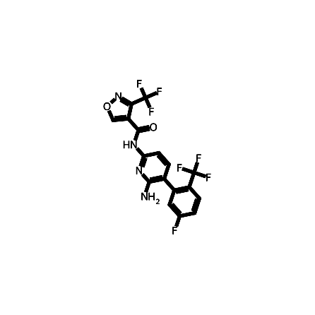 Nc1nc(NC(=O)c2conc2C(F)(F)F)ccc1-c1cc(F)ccc1C(F)(F)F